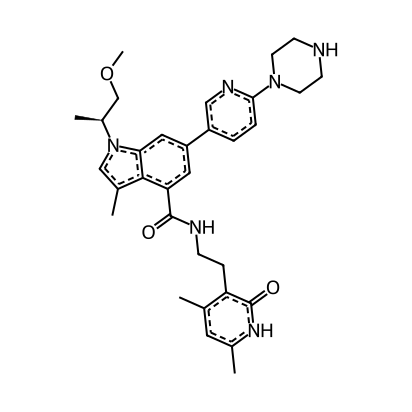 COC[C@H](C)n1cc(C)c2c(C(=O)NCCc3c(C)cc(C)[nH]c3=O)cc(-c3ccc(N4CCNCC4)nc3)cc21